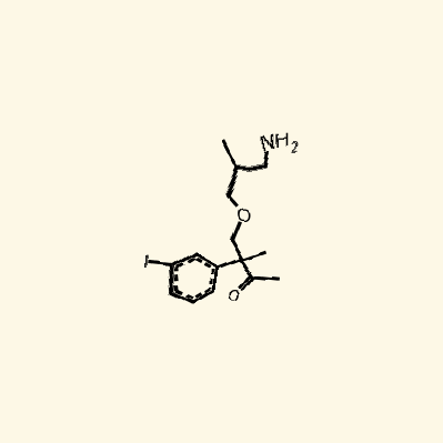 CC(=O)C(C)(COCC(C)CN)c1cccc(I)c1